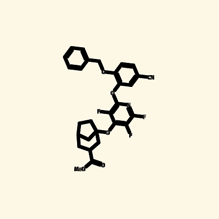 COC(=O)C1CC2CCC(Oc3c(F)c(F)nc(Oc4cc(C#N)ccc4OCc4ccccc4)c3F)(C2)C1